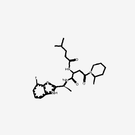 CC(C)CCC(=O)NC(CC(=O)N1CCCCC1C)C(=O)N[C@@H](C)c1nc2c(F)cccc2[nH]1